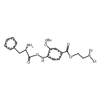 CCCCOc1cc(C(=O)OCCN(CC)CC)ccc1NOC(=O)[C@H](N)Cc1ccccc1